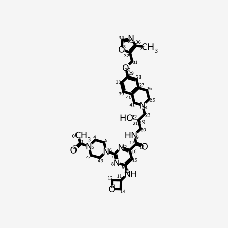 CC(=O)N1CCN(c2nc(NC3COC3)cc(C(=O)NC[C@H](O)CN3CCc4cc(OCc5ocnc5C)ccc4C3)n2)CC1